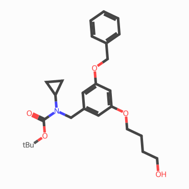 CC(C)(C)OC(=O)N(Cc1cc(OCCCCO)cc(OCc2ccccc2)c1)C1CC1